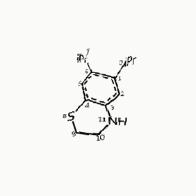 CC(C)c1cc2c(cc1C(C)C)SCCN2